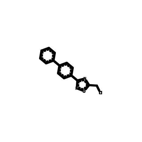 ClCc1nc(-c2ccc(-c3ccccc3)cc2)no1